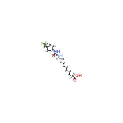 CC(C)(CCCCCCCCCNC(=O)Nc1ccc(C(F)(F)F)cc1)C(=O)O